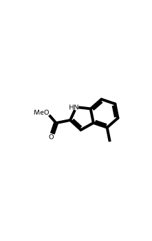 COC(=O)c1cc2c(C)cccc2[nH]1